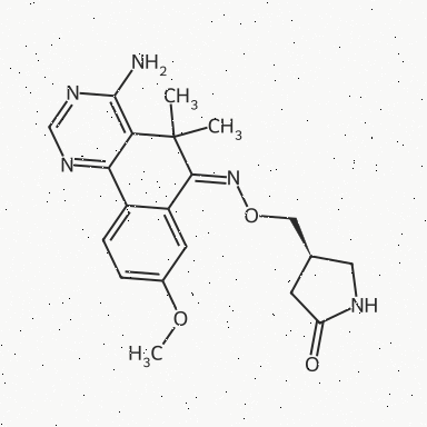 COc1ccc2c(c1)/C(=N\OC[C@H]1CNC(=O)C1)C(C)(C)c1c(N)ncnc1-2